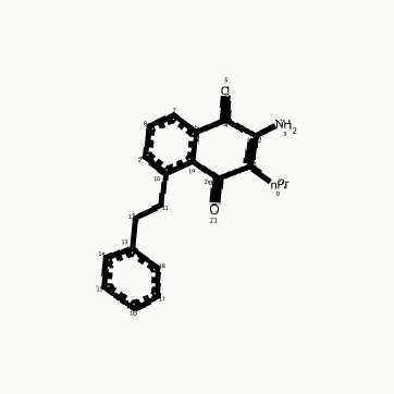 CCCC1=C(N)C(=O)c2cccc(CCc3ccccc3)c2C1=O